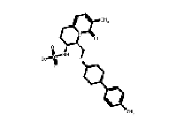 CCS(=O)(=O)N[C@H]1CCc2ccc(C)c(=O)n2[C@H]1COC1CCC(c2ccc(C)cc2)CC1